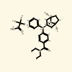 CCN(CC)C(=S)c1ccc(N(c2ccccc2)[C@H]2C[C@H]3CC[C@@H](C2)N3C)cc1.O=C(O)C(F)(F)F